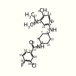 Cc1cnc(NC2CCC(NC(=O)c3ccc(F)c(Cl)c3)CC2)cc1N(C)C